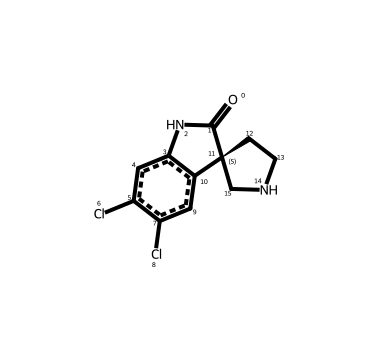 O=C1Nc2cc(Cl)c(Cl)cc2[C@]12CCNC2